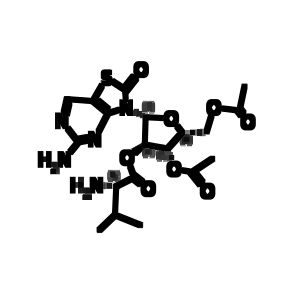 CC(=O)OC[C@H]1O[C@@H](n2c(=O)sc3cnc(N)nc32)[C@H](OC(=O)[C@@H](N)C(C)C)[C@H]1OC(C)=O